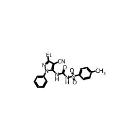 CCc1nn(-c2ccccc2)c(NC(=O)NS(=O)(=O)c2ccc(C)cc2)c1C#N